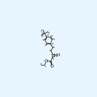 CCOC(=O)C1NC1CCc1ccc(C(C)(C)C)cc1